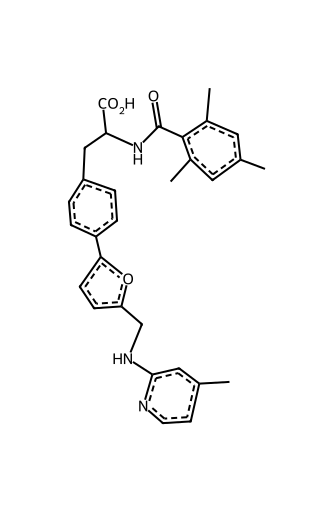 Cc1ccnc(NCc2ccc(-c3ccc(CC(NC(=O)c4c(C)cc(C)cc4C)C(=O)O)cc3)o2)c1